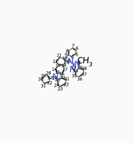 Cn1c(-n2c3ccccc3c3ccc4cc5c(cc4c32)c2ccccc2n5-c2ccccc2)nc2ccccc21